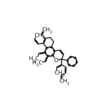 C=C/C=C\C(=C/C)C1(c2ccccc2)C=Cc2c3c(c(=C/C)/c(=C\C)c2O1)C(/C=C\C)=C(C=C)CC3